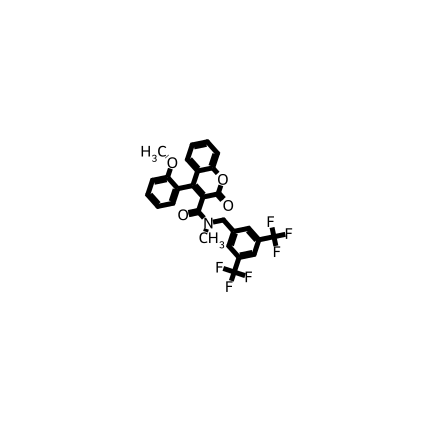 COc1ccccc1-c1c(C(=O)N(C)Cc2cc(C(F)(F)F)cc(C(F)(F)F)c2)c(=O)oc2ccccc12